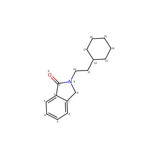 O=C1c2ccccc2CN1CCC1CCCCC1